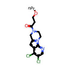 CCCOCCC(=O)N1CCn2c(cc3c(Cl)c(Cl)cnc32)C1